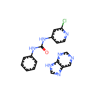 O=C(Nc1ccccc1)Nc1ccnc(Cl)c1.c1ncc2nc[nH]c2n1